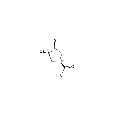 CC(=O)[C@@H]1CC(=S)[S@+]([O-])C1